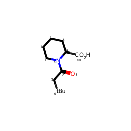 CC(C)(C)CC(=O)N1CCCCC1C(=O)O